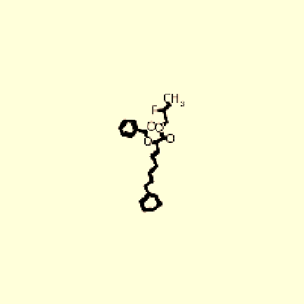 CCC(F)COC(=O)C(C=CCCCCc1ccccc1)OC(=O)c1ccccc1